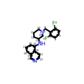 Fc1cccc(F)c1CN1CCCC(Nc2cccc3cnccc23)C1